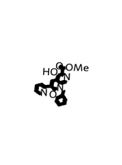 COC(=O)c1ncc2c(cc(-c3ccccn3)c(=O)n2Cc2ccccc2)c1O